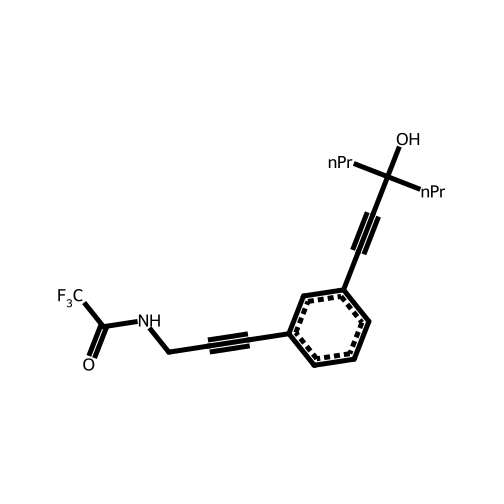 CCCC(O)(C#Cc1cccc(C#CCNC(=O)C(F)(F)F)c1)CCC